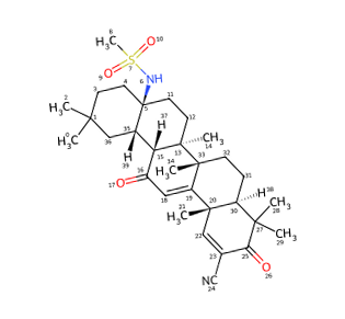 CC1(C)CC[C@]2(NS(C)(=O)=O)CC[C@]3(C)[C@H](C(=O)C=C4[C@@]5(C)C=C(C#N)C(=O)C(C)(C)[C@@H]5CC[C@]43C)[C@@H]2C1